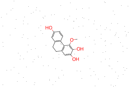 COc1c(O)c(O)cc2c1-c1ccc(O)cc1CC2